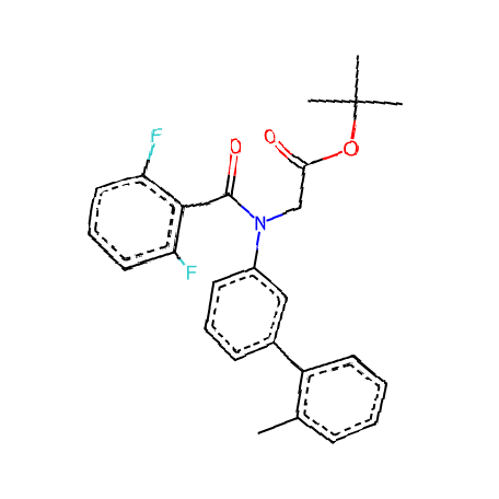 Cc1ccccc1-c1cccc(N(CC(=O)OC(C)(C)C)C(=O)c2c(F)cccc2F)c1